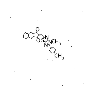 Cc1ccc(-c2nc3sc(C=C4C(=O)c5cc6ccccc6cc5C4=O)nc3n2C)cc1